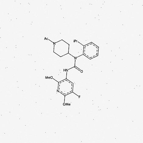 COc1nc(OC)c(NC(=O)N(c2ccccc2C(C)C)C2CCN(C(C)=O)CC2)cc1F